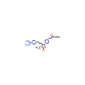 COC(=O)CCN1CCN(C2OC(=O)N(C)C2CCCN2CCN(C(=N)N)CC2)CC1